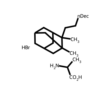 Br.CC(N)C(=O)O.CCCCCCCCCCCCC1(C)C2CC3CC(C2)CC1(C)C3